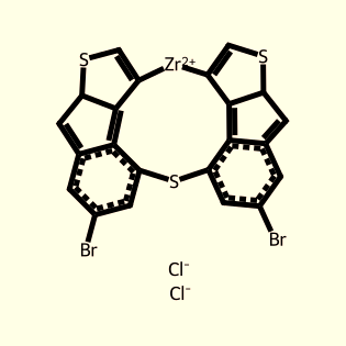 Brc1cc2c3c(c1)=CC1SC=[C]([Zr+2][C]4=CSC5C=c6cc(Br)cc(c6=C45)S2)C=31.[Cl-].[Cl-]